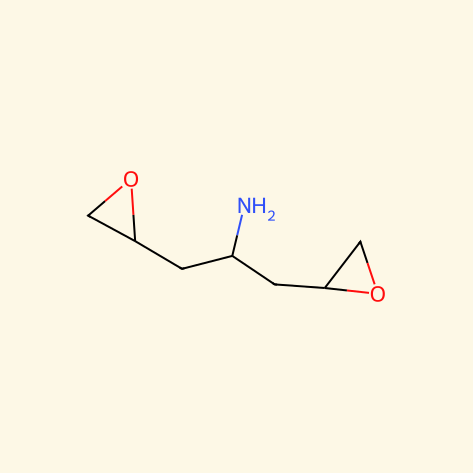 NC(CC1CO1)CC1CO1